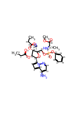 CCC(=O)O[C@H]1[C@H](c2ccc3c(N)ccnn23)O[C@](C#N)(CO[P@@](=O)(N[C@@H](C)C(=O)OC)Oc2ccccc2)[C@H]1OC(=O)CC